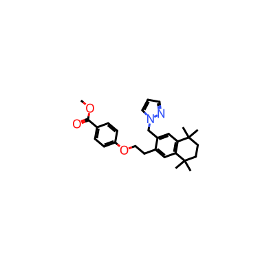 COC(=O)c1ccc(OCCc2cc3c(cc2Cn2cccn2)C(C)(C)CCC3(C)C)cc1